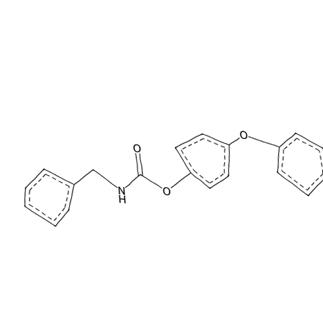 O=C(NCc1ccccc1)Oc1ccc(Oc2ccccc2)cc1